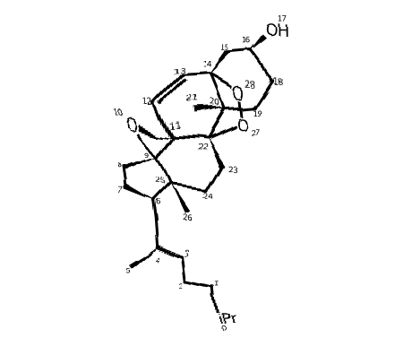 CC(C)CCC[C@@H](C)[C@H]1CC[C@@]23O[C@]24C=C[C@@]25C[C@@H](O)CC[C@]2(C)[C@]4(CC[C@]13C)OO5